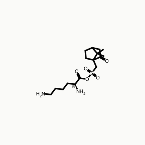 CC1(C)C2CCC1(CS(=O)(=O)OC(=O)[C@@H](N)CCCCN)C(=O)C2